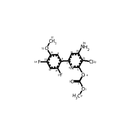 COC(=O)Oc1nc(-c2cc(OC)c(F)cc2F)cc(N)c1Cl